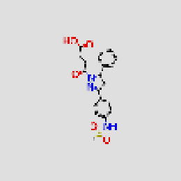 CS(=O)(=O)Nc1ccc(C2=NN(C(=O)CCC(=O)O)C(c3ccccc3)C2)cc1